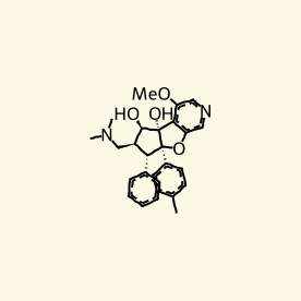 COc1cncc2c1[C@]1(O)[C@H](O)[C@H](CN(C)C)[C@@H](c3ccccc3)[C@]1(c1ccc(C)cc1)O2